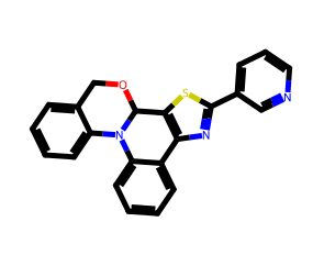 c1cncc(-c2nc3c(s2)C2OCc4ccccc4N2c2ccccc2-3)c1